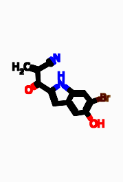 C=C(C#N)C(=O)c1cc2cc(O)c(Br)cc2[nH]1